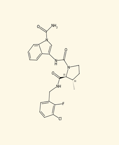 C[C@H]1CCN(C(=O)Nc2cn(C(N)=O)c3ccccc23)[C@@H]1C(=O)NCc1cccc(Cl)c1F